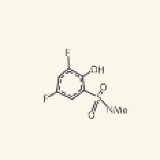 CNS(=O)(=O)c1cc(F)cc(F)c1O